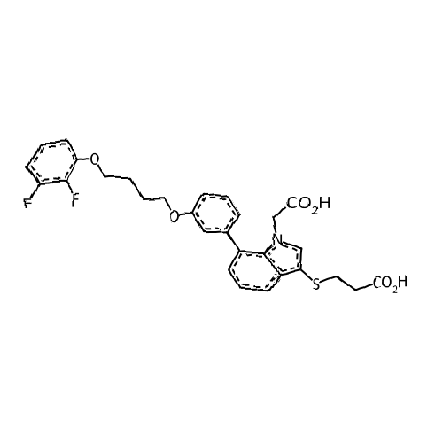 O=C(O)CCSc1cn(CC(=O)O)c2c(-c3cccc(OCCCCOc4cccc(F)c4F)c3)cccc12